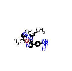 CCCCc1cn(-c2c(C(C)C)ccn2C)c(=O)n1Cc1cnccc1-c1ccc(-c2nnn[nH]2)cc1